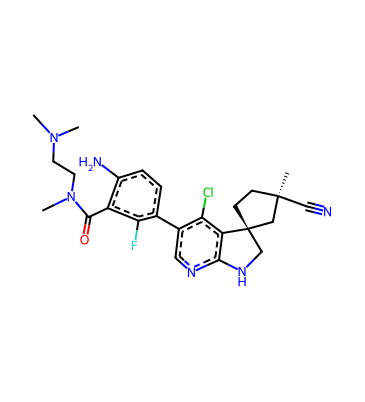 CN(C)CCN(C)C(=O)c1c(N)ccc(-c2cnc3c(c2Cl)[C@@]2(CC[C@@](C)(C#N)C2)CN3)c1F